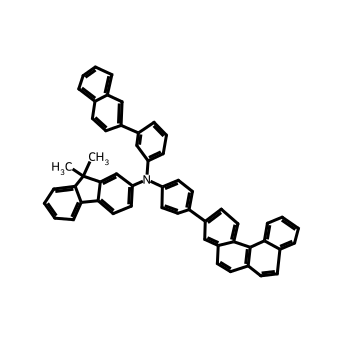 CC1(C)c2ccccc2-c2ccc(N(c3ccc(-c4ccc5c(ccc6ccc7ccccc7c65)c4)cc3)c3cccc(-c4ccc5ccccc5c4)c3)cc21